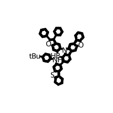 CC(C)(C)c1ccc(Nc2cc3sc4ccccc4c3cc2-c2ccc3c4cc5oc6ccccc6c5cc4n4c3c2Bc2cc3oc(-c5ccccc5)c(-c5ccccc5)c3cc2-4)cc1